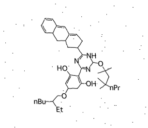 CCCCC(CC)COC1C=C(O)C(C2=NC(OC(C)(C)CC(C)(C)CCC)NC(C3CC=C4C=C5C=CC=CC5CC4C3)=N2)=C(O)C1